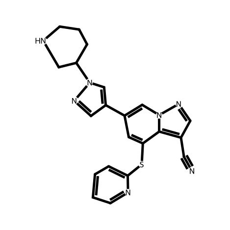 N#Cc1cnn2cc(-c3cnn(C4CCCNC4)c3)cc(Sc3ccccn3)c12